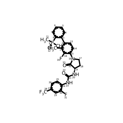 Cc1c(-c2ccccc2P(C)(C)=O)ccc(N2CC[C@@H](NC(=O)Nc3ccc(C(F)(F)F)cc3F)C2=O)c1F